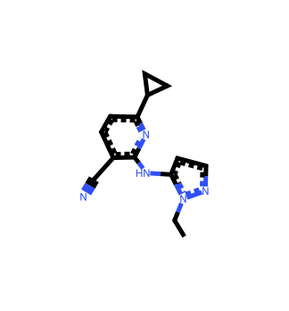 CCn1nccc1Nc1nc(C2CC2)ccc1C#N